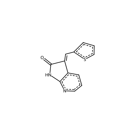 O=C1Nc2ncccc2/C1=C\c1cccs1